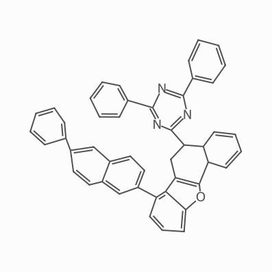 C1=CC2c3oc4cccc(-c5ccc6cc(-c7ccccc7)ccc6c5)c4c3CC(c3nc(-c4ccccc4)nc(-c4ccccc4)n3)C2C=C1